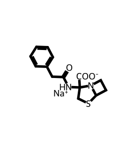 O=C(Cc1ccccc1)NC1(C(=O)[O-])CSC2CCN21.[Na+]